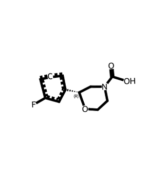 O=C(O)N1CCO[C@H](c2cccc(F)c2)C1